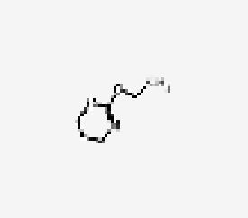 CCOC1=NCCCO1